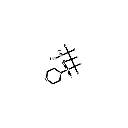 O=S(=O)(O)C(F)(F)C(F)(F)C(F)(F)S(=O)(=O)N1CCOCC1